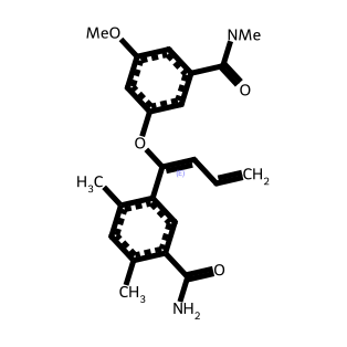 C=C/C=C(/Oc1cc(OC)cc(C(=O)NC)c1)c1cc(C(N)=O)c(C)cc1C